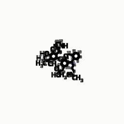 CN(C)CC/C=C1/c2ccccc2COc2ccc(CC(=O)O)cc21.Cc1cc(C(C)(C)C)c(O)c(C)c1CC1=NCCN1